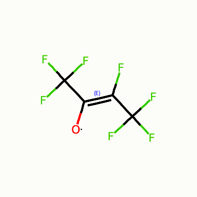 [O]/C(=C(/F)C(F)(F)F)C(F)(F)F